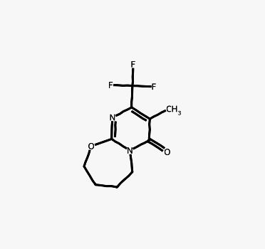 Cc1c(C(F)(F)F)nc2n(c1=O)CCCCO2